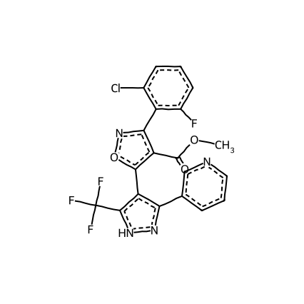 COC(=O)c1c(-c2c(F)cccc2Cl)noc1-c1c(-c2cccnc2)n[nH]c1C(F)(F)F